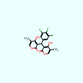 Cc1coc(=O)c(C(c2cc(F)c(F)c(F)c2)c2c(O)c(C)coc2=O)c1O